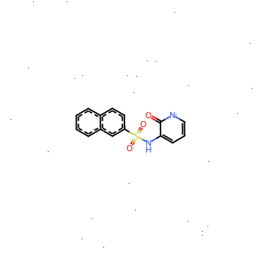 O=C1[N]C=CC=C1NS(=O)(=O)c1ccc2ccccc2c1